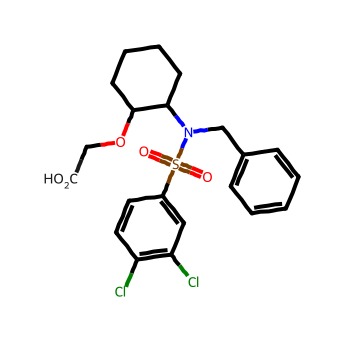 O=C(O)COC1CCCCC1N(Cc1ccccc1)S(=O)(=O)c1ccc(Cl)c(Cl)c1